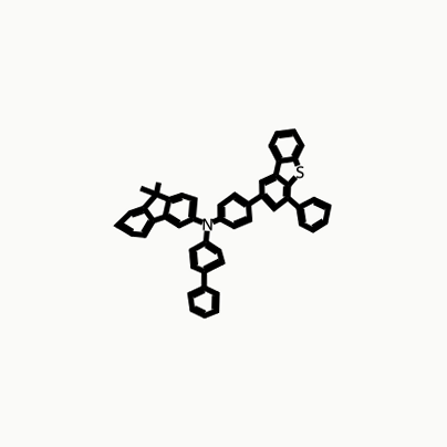 CC1(C)c2ccccc2-c2cc(N(c3ccc(-c4ccccc4)cc3)c3ccc(-c4cc(-c5ccccc5)c5sc6ccccc6c5c4)cc3)ccc21